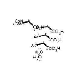 CC(=O)CC(=O)O.CC(=O)CC(=O)O.CC(=O)CC(=O)O.CC(=O)CC(=O)O.O.O.[CaH2]